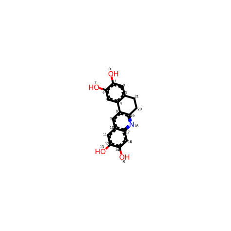 Oc1cc2c(cc1O)-c1cc3cc(O)c(O)cc3nc1CC2